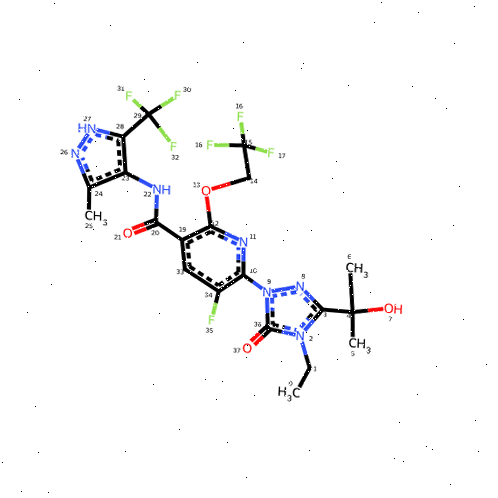 CCn1c(C(C)(C)O)nn(-c2nc(OCC(F)(F)F)c(C(=O)Nc3c(C)n[nH]c3C(F)(F)F)cc2F)c1=O